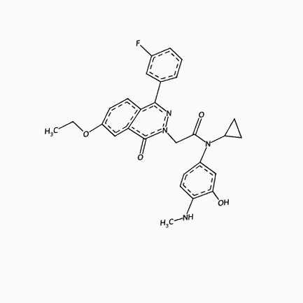 CCOc1ccc2c(-c3cccc(F)c3)nn(CC(=O)N(c3ccc(NC)c(O)c3)C3CC3)c(=O)c2c1